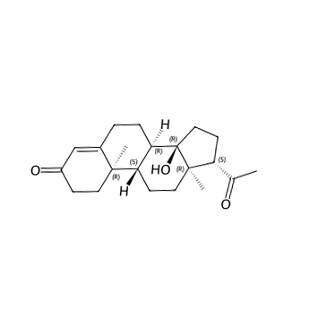 CC(=O)[C@H]1CC[C@@]2(O)[C@@H]3CCC4=CC(=O)CC[C@]4(C)[C@H]3CC[C@]12C